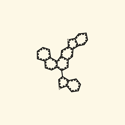 c1ccc2c(c1)ccc1c(-c3csc4ccccc34)cc3cc4c(cc3c12)sc1ccccc14